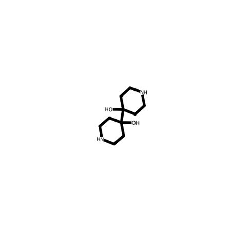 OC1(C2(O)CCNCC2)CCNCC1